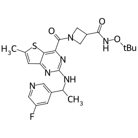 Cc1cc2nc(NC(C)c3cncc(F)c3)nc(C(=O)N3CC(C(=O)NOC(C)(C)C)C3)c2s1